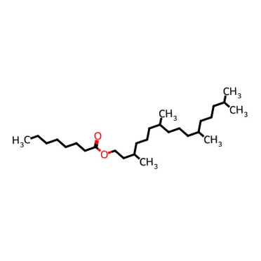 CCCCCCCC(=O)OCCC(C)CCCC(C)CCCC(C)CCCC(C)C